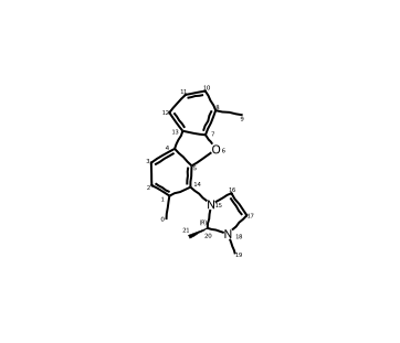 Cc1ccc2c(oc3c(C)cccc32)c1N1C=CN(C)[C@H]1C